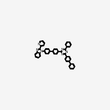 c1ccc(-c2ccc(-c3nc(-c4ccccc4)nc(-c4ccc(-c5ccc(-n6c(-c7ccccn7)nc7ccccc76)cc5)cc4)n3)cc2)cc1